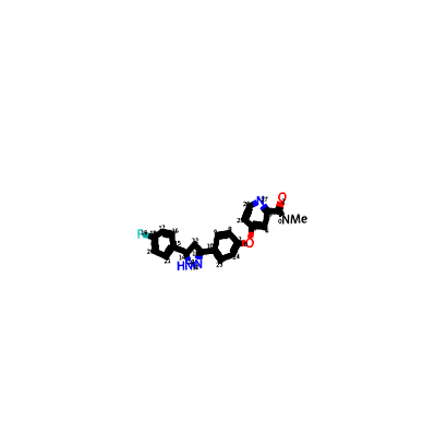 CNC(=O)c1cc(Oc2ccc(C3=NNC(c4ccc(F)cc4)C3)cc2)ccn1